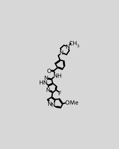 COc1ccn2ncc(-c3nc4[nH]nc(NC(=O)c5cccc(CN6CCN(C)CC6)c5)c4cc3F)c2c1